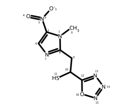 Cn1c([N+](=O)[O-])cnc1CC(S)c1nnno1